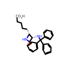 O=C(O)CCCC[C@H]1NC(=O)[C@H]1NC(c1ccccc1)(c1ccccc1)c1ccccc1